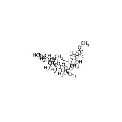 C=C(C)C(=O)OC.C=C(C)C(=O)OC.C=C(CC)C(=O)O.C=CC(=O)OCC.C=CC(=O)OCC.CN(C)C.CN(C)C.Cl